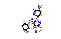 CC(=O)c1ccc(-n2nc(OC(C)C)c(Oc3c(F)cccc3F)c2C)nc1